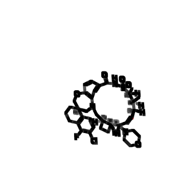 C[C@@H]1[C@@H](C)S(=O)(=O)NC(=O)c2ccc3c(c2)N(C[C@@H]2CC[C@H]2[C@@H](N2CCOCC2)C2=C[C@H]1C2)C[C@@]1(CCCc2c1ccc(Cl)c2F)CO3